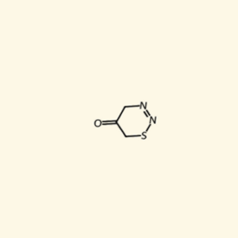 O=C1CN=NSC1